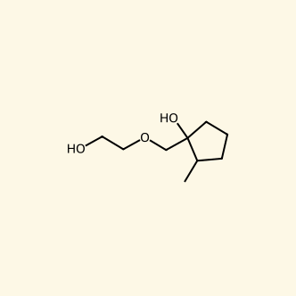 CC1CCCC1(O)COCCO